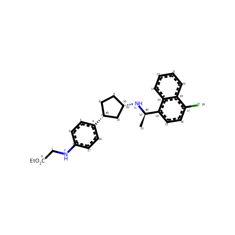 CCOC(=O)CNc1ccc([C@@H]2CC[C@H](N[C@H](C)c3ccc(F)c4ccccc34)C2)cc1